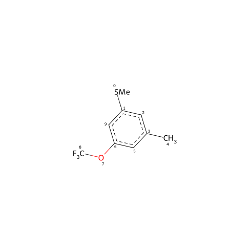 CSc1cc(C)cc(OC(F)(F)F)c1